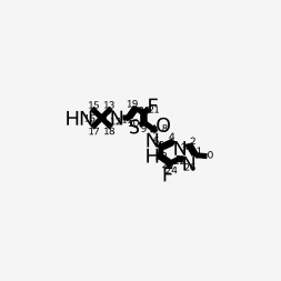 Cc1cn2cc(NC(=O)c3sc(N4CC5(CNC5)C4)cc3F)cc(F)c2n1